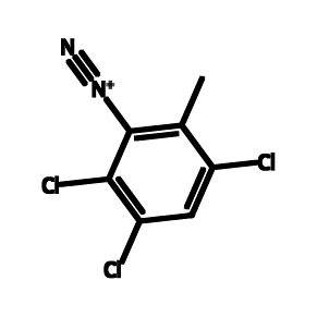 Cc1c(Cl)cc(Cl)c(Cl)c1[N+]#N